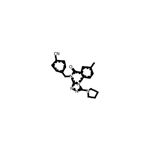 Cc1ccc2c(c1)c(=O)n(Cc1ccc(C#N)cc1)c1nnc(N3CCCC3)n21